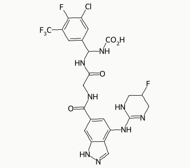 O=C(O)NC(NC(=O)CNC(=O)c1cc(NC2=NCC(F)CN2)c2cn[nH]c2c1)c1cc(Cl)c(F)c(C(F)(F)F)c1